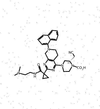 CN(C)CCNC(=O)C1(c2nc3c(c(N4CCN(C(=O)O)[C@@H](CC#N)C4)n2)CCN(c2cccc4ccccc24)C3)CC1